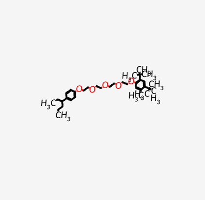 CCCC(CC)c1ccc(OCCOCCOCCOCCOc2cc(C)c(C(C)(C)C)cc2C(C)(C)C)cc1